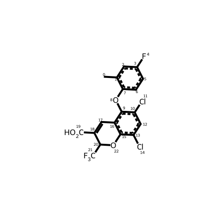 Cc1cc(F)ccc1Oc1c(Cl)cc(Cl)c2c1C=C(C(=O)O)C(C(F)(F)F)O2